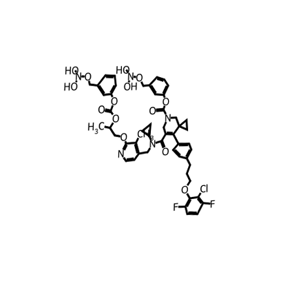 Cc1c(CN(C(=O)C2=C(c3ccc(CCCOc4c(F)ccc(F)c4Cl)cc3)C3(CC3)CN(C(=O)Oc3cccc(CON(O)O)c3)C2)C2CC2)ccnc1OCC(C)OC(=O)Oc1cccc(CON(O)O)c1